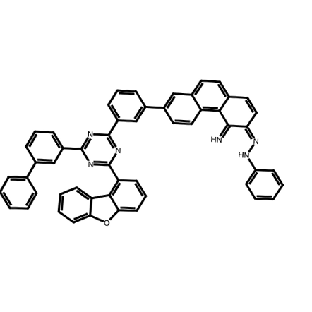 N=C1/C(=N\Nc2ccccc2)C=Cc2ccc3cc(-c4cccc(-c5nc(-c6cccc(-c7ccccc7)c6)nc(-c6cccc7oc8ccccc8c67)n5)c4)ccc3c21